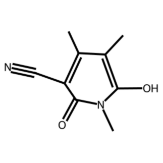 Cc1c(C)c(O)n(C)c(=O)c1C#N